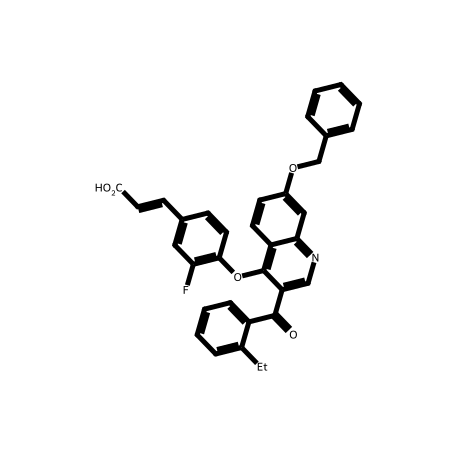 CCc1ccccc1C(=O)c1cnc2cc(OCc3ccccc3)ccc2c1Oc1ccc(/C=C/C(=O)O)cc1F